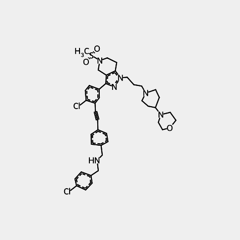 CS(=O)(=O)N1CCc2c(c(-c3ccc(Cl)c(C#Cc4ccc(CNCc5ccc(Cl)cc5)cc4)c3)nn2CCCN2CCC(N3CCOCC3)CC2)C1